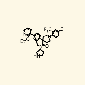 CCOc1ncccc1-c1ccc2c(n1)CN([C@H]1CCNC1)C(=O)C21CCN(c2ccc(Cl)cc2C(F)(F)F)CC1